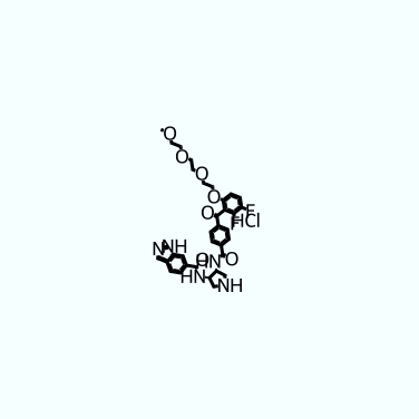 COCCOCCOCCOc1ccc(F)c(F)c1C(=O)c1ccc(C(=O)N[C@@H]2CNC[C@H]2NC(=O)c2ccc3cn[nH]c3c2)cc1.Cl